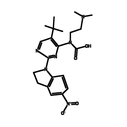 CN(C)CCN(C(=O)O)c1nc(N2CCc3cc([N+](=O)[O-])ccc32)ncc1C(C)(C)C